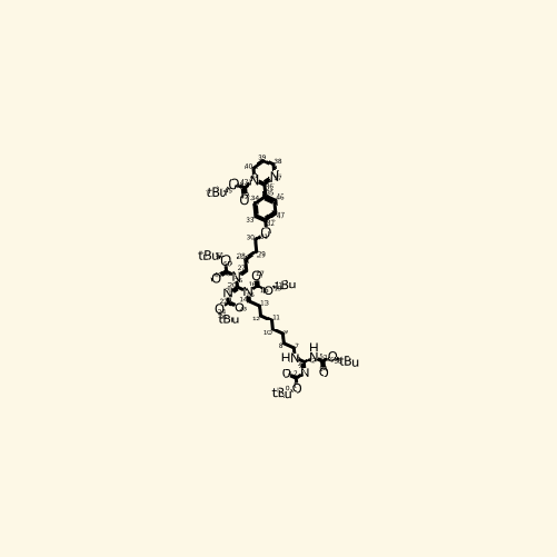 CC(C)(C)OC(=O)/N=C(\NCCCCCCCCN(C(=O)OC(C)(C)C)/C(=N\C(=O)OC(C)(C)C)N(CCCCOc1ccc(C2=NCCCN2C(=O)OC(C)(C)C)cc1)C(=O)OC(C)(C)C)NC(=O)OC(C)(C)C